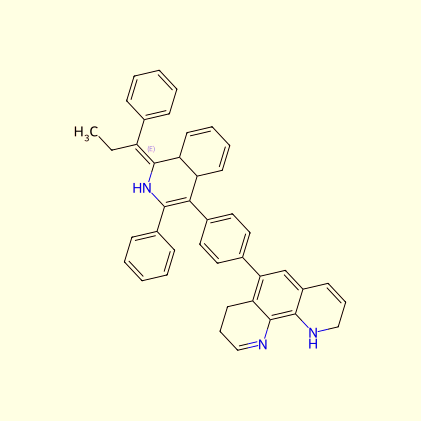 CC/C(=C1\NC(c2ccccc2)=C(c2ccc(-c3cc4c(c5c3CCC=N5)NCC=C4)cc2)C2C=CC=CC12)c1ccccc1